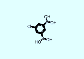 OB(O)c1cc(Cl)cc(B(O)O)c1